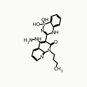 CCCCn1c(=O)c(C2=NS(O)(O)c3ccccc3N2)c(NN)c2cccnc21